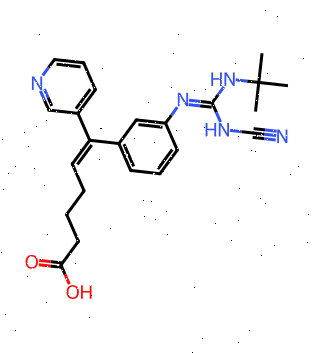 CC(C)(C)N/C(=N/c1cccc(/C(=C\CCCC(=O)O)c2cccnc2)c1)NC#N